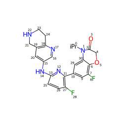 CC(C)N1C(=O)COc2c(F)cc(-c3nc(Nc4cnc5c(c4)CNCC5)ccc3F)cc21